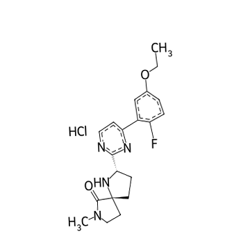 CCOc1ccc(F)c(-c2ccnc([C@@H]3CC[C@]4(CCN(C)C4=O)N3)n2)c1.Cl